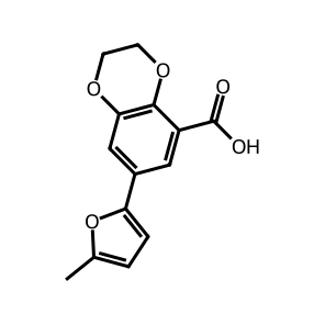 Cc1ccc(-c2cc3c(c(C(=O)O)c2)OCCO3)o1